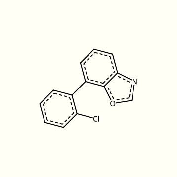 Clc1ccccc1-c1cccc2ncoc12